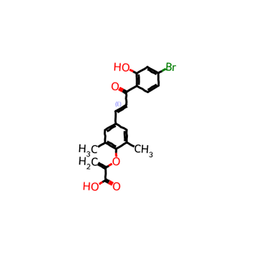 C=C(Oc1c(C)cc(/C=C/C(=O)c2ccc(Br)cc2O)cc1C)C(=O)O